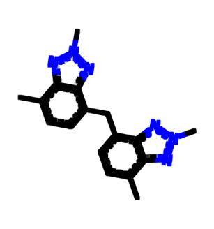 Cc1ccc(Cc2ccc(C)c3nn(C)nc23)c2nn(C)nc12